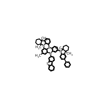 Cc1cc2c3c(c1)N1c4c(cccc4C4(C)CCCCC14C)B3c1ccc(N3c4ccc(-c5ccccc5)cc4C4(C)CCCCC34C)cc1N2c1ccc2c(c1)sc1ccccc12